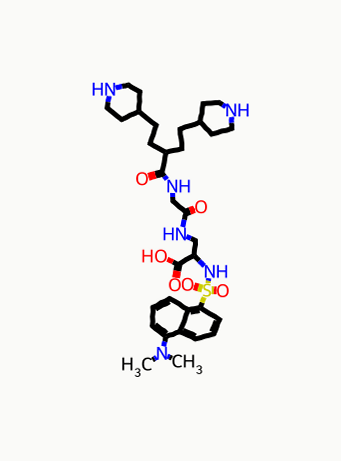 CN(C)c1cccc2c(S(=O)(=O)NC(CNC(=O)CNC(=O)C(CCC3CCNCC3)CCC3CCNCC3)C(=O)O)cccc12